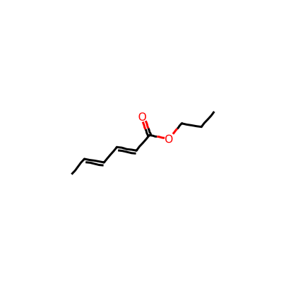 C/C=C/C=C/C(=O)OCCC